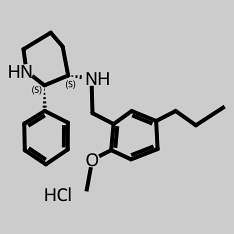 CCCc1ccc(OC)c(CN[C@H]2CCCN[C@H]2c2ccccc2)c1.Cl